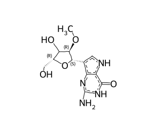 CO[C@@H]1C(O)[C@@H](CO)O[C@H]1c1c[nH]c2c(=O)[nH]c(N)nc12